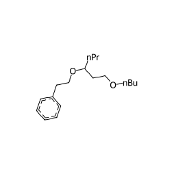 CCCCOCCC(CCC)OCCc1ccccc1